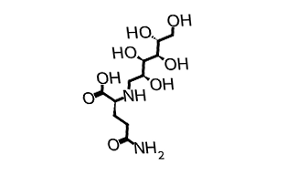 NC(=O)CC[C@H](NC[C@H](O)[C@@H](O)[C@H](O)[C@H](O)CO)C(=O)O